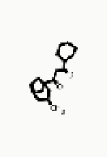 CC1CC2=CCC(C(=O)CC(=O)C3CCCCC3)(C2)C1